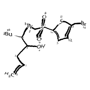 C=CCC(O)C(NS(=O)(=O)c1ccc(Br)s1)[C@@H](C)CC